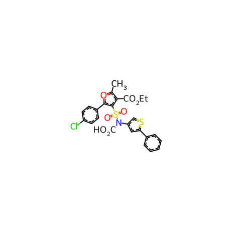 CCOC(=O)c1c(C)oc(-c2ccc(Cl)cc2)c1S(=O)(=O)N(C(=O)O)c1csc(-c2ccccc2)c1